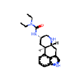 CCN(CC)C(=O)N[C@@H]1CN[C@@H]2Cc3c[nH]c4cccc(c34)[C@H]2C1